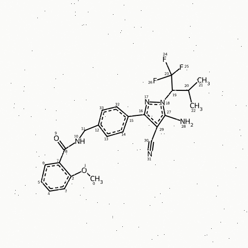 COc1ccccc1C(=O)NCc1ccc(-c2nn(C(C(C)C)C(F)(F)F)c(N)c2C#N)cc1